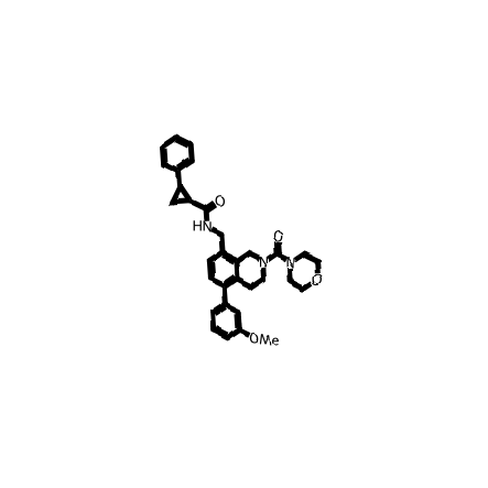 COc1cccc(-c2ccc(CNC(=O)C3CC3c3ccccc3)c3c2CCN(C(=O)N2CCOCC2)C3)c1